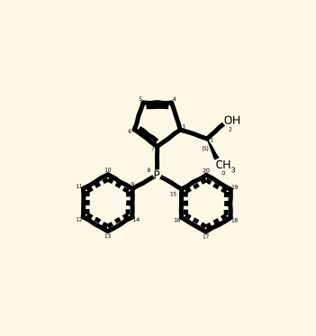 C[C@H](O)C1C=CC=C1P(c1ccccc1)c1ccccc1